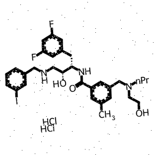 CCCN(CCO)Cc1cc(C)cc(C(=O)N[C@@H](Cc2cc(F)cc(F)c2)[C@H](O)CNCc2cccc(I)c2)c1.Cl.Cl